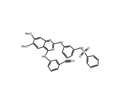 C#Cc1cccc(Nc2nc(Nc3cccc(NS(=O)(=O)c4ccccc4)c3)nc3cc(OC)c(OC)cc23)c1